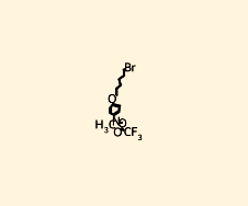 CN(OC(=O)C(F)(F)F)c1ccc(OCCCCCCBr)cc1